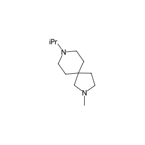 CC(C)N1CCC2(CCN(C)C2)CC1